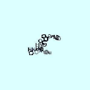 CC(C)(C)c1cc(NC(=O)C(=O)c2ccc(OCCN3CCOCC3)c3ccccc23)n(OC(=O)NC2CCCCC2)n1